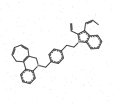 C=Cc1c(/C=C\C)c2ccccc2n1CCc1ccc(CN2CC3=C(CC=CC=C3)c3ccccc32)cc1